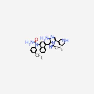 Cc1nc(-c2ccc(N(C(N)=O)c3cccc(C(F)(F)F)c3)c3ccccc23)c2c(N)ncc(C3=CCCNC3)n12